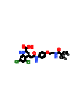 CC(C)C(=O)NCCOc1ccc(NC(=O)/C=C2\CC(C(=O)O)Nc3cc(Cl)cc(Cl)c32)cc1